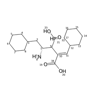 N[C@H](CC1CCCCC1)C(/C(=C\C1CCCCC1)C(=O)O)[PH](=O)O